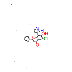 O=c1cc(-c2ccccc2)oc2c(-c3ccn[nH]3)c(O)c(Cl)cc12